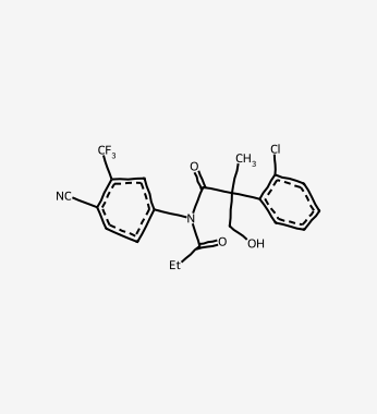 CCC(=O)N(C(=O)C(C)(CO)c1ccccc1Cl)c1ccc(C#N)c(C(F)(F)F)c1